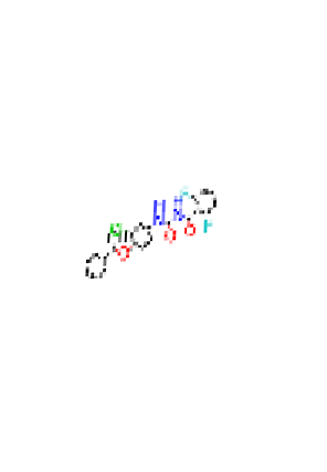 CC(Oc1ccc(NC(=O)NC(=O)c2c(F)cccc2F)cc1Cl)c1ccccc1